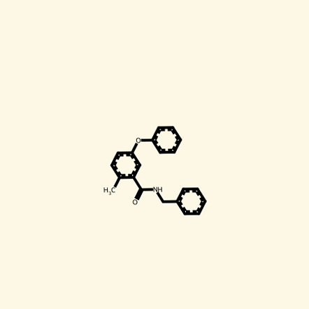 Cc1ccc(Oc2ccccc2)cc1C(=O)NCc1ccccc1